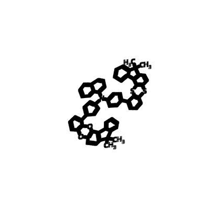 CC1(C)c2ccccc2-c2c1ccc1c2Oc2c(cccc2-c2ccc(N(c3ccc(-c4cccc5c4Sc4c(ccc6c4-c4ccccc4C6(C)C)S5)cc3)c3cccc4ccccc34)cc2)O1